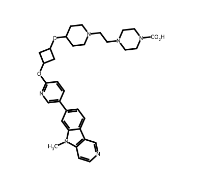 Cn1c2ccncc2c2ccc(-c3ccc(OC4CC(OC5CCN(CCN6CCN(C(=O)O)CC6)CC5)C4)nc3)cc21